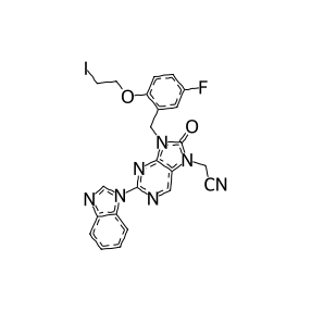 N#CCn1c(=O)n(Cc2cc(F)ccc2OCCI)c2nc(-n3cnc4ccccc43)ncc21